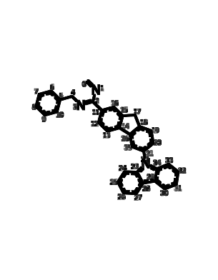 C=N/C(=N\Cc1ccccc1)c1ccc2c(c1)Cc1ccc(-n3c4ccccc4c4ccccc43)cc1-2